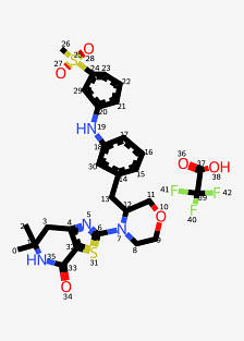 CC1(C)Cc2nc(N3CCOCC3Cc3cccc(Nc4cccc(S(C)(=O)=O)c4)c3)sc2C(=O)N1.O=C(O)C(F)(F)F